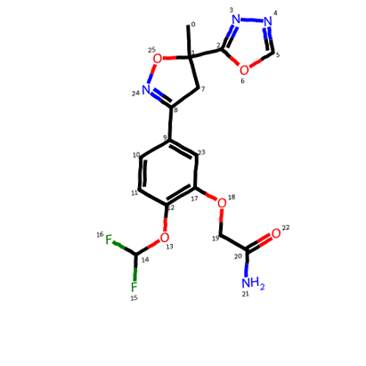 CC1(c2nnco2)CC(c2ccc(OC(F)F)c(OCC(N)=O)c2)=NO1